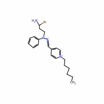 CCCCCC[n+]1ccc(/C=N/N(CCC(N)Br)c2ccccc2)cc1